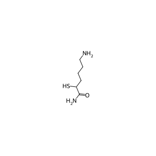 NCCCCC(S)C(N)=O